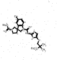 CCOC(=O)C(C)(C)CSc1cnc(NC(=O)N2CC3(CCN(C(=O)OC)C3)c3cc(Cl)ccc32)s1